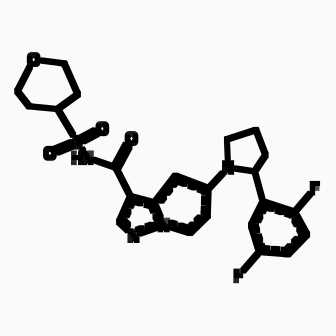 O=C(NS(=O)(=O)C1CCOCC1)c1cnn2ccc(N3CCCC3c3cc(F)ccc3F)cc12